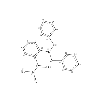 CCN(CC)C(=O)c1ccccc1N(Cc1ccccc1)Cc1ccccc1